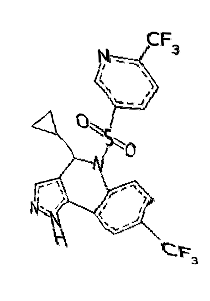 O=S(=O)(c1ccc(C(F)(F)F)nc1)N1c2ccc(C(F)(F)F)cc2-c2[nH]ncc2C1C1CC1